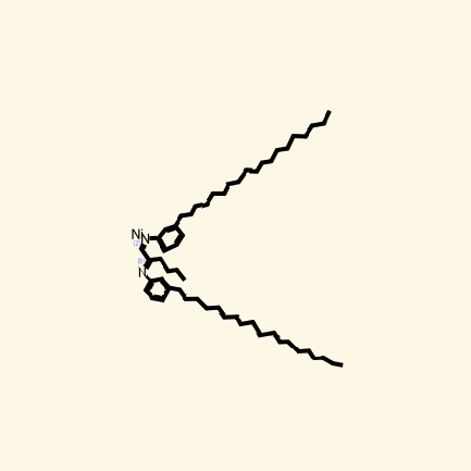 CCCCCCCCCCCCCCCCCCCc1cccc(/N=C\C(CCCC)=N\c2cccc(CCCCCCCCCCCCCCCCCCC)c2)c1.[Ni]